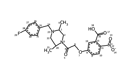 CC1CN(C(=O)COc2ccc([N+](=O)[O-])c(C(=O)O)c2)C(C)CN1Cc1ccc(F)cc1